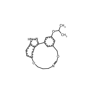 CC(C)Oc1cc2cc(c1)-c1n[nH]c3ccc(cc13)OCCCN=COC2